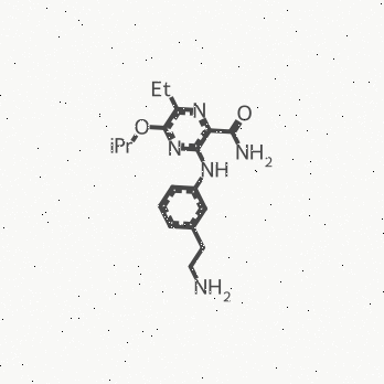 CCc1nc(C(N)=O)c(Nc2cccc(CCN)c2)nc1OC(C)C